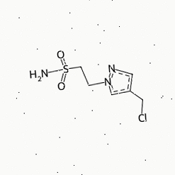 NS(=O)(=O)CCn1cc(CCl)cn1